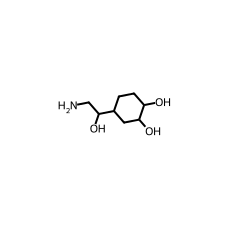 NCC(O)C1CCC(O)C(O)C1